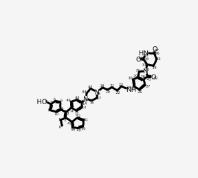 CCC(=C(c1ccc(O)cc1)c1ccc(N2CCN(CCCCCNc3ccc4c(c3)CN(C3CCC(=O)NC3=O)C4=O)CC2)cc1)c1ccccc1